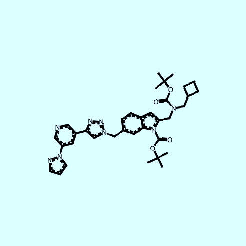 CC(C)(C)OC(=O)N(Cc1cc2ccc(Cn3cc(-c4cncc(-n5cccn5)c4)nn3)cc2n1C(=O)OC(C)(C)C)CC1CCC1